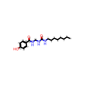 CCCCCCCCNC(=O)NCNC(=O)c1ccc(O)cc1